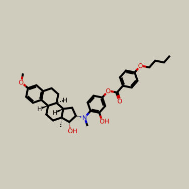 CCCCOc1ccc(C(=O)Oc2ccc(N(C)[C@H]3C[C@H]4[C@@H]5CCc6cc(OC)ccc6[C@H]5CC[C@]4(C)[C@H]3O)c(O)c2)cc1